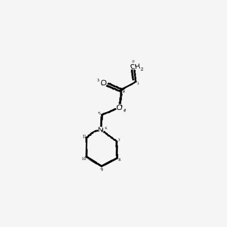 C=CC(=O)OCN1CCCCC1